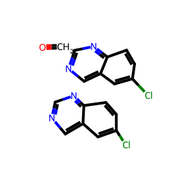 C=O.Clc1ccc2ncncc2c1.Clc1ccc2ncncc2c1